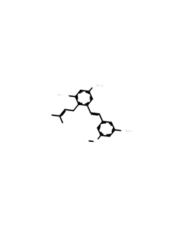 CCOc1cc(/C=C/c2cc(OC)cc(OC)c2CC=C(C)C)cc(OC)c1